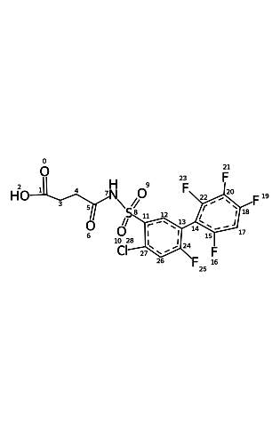 O=C(O)CCC(=O)NS(=O)(=O)c1cc(-c2c(F)cc(F)c(F)c2F)c(F)cc1Cl